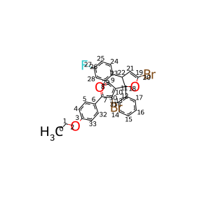 CCOc1ccc(-c2occ(C3(c4ccccc4)OC(Br)=CC3c3ccc(F)cc3)c2Br)cc1